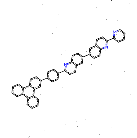 c1ccc(-c2ccc3cc(-c4ccc5nc(-c6ccc(-c7ccc8c9ccccc9c9ccccc9c8c7)cc6)ccc5c4)ccc3n2)nc1